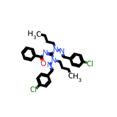 CCCCN(N=Cc1ccc(Cl)cc1)C(=NC(=O)c1ccccc1)N(CCCC)N=Cc1ccc(Cl)cc1